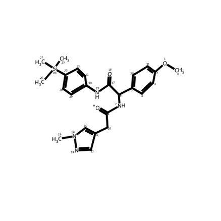 COc1ccc(C(NC(=O)Cc2cnn(C)c2)C(=O)Nc2ccc([Si](C)(C)C)cc2)cc1